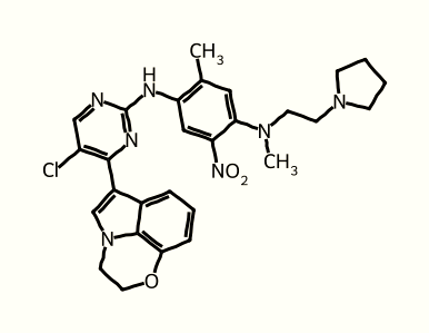 Cc1cc(N(C)CCN2CCCC2)c([N+](=O)[O-])cc1Nc1ncc(Cl)c(-c2cn3c4c(cccc24)OCC3)n1